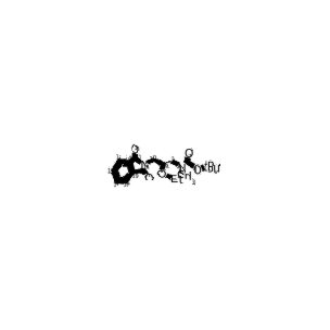 CCO[C@@H](CN(C)C(=O)OC(C)(C)C)CN1C(=O)c2ccccc2C1=O